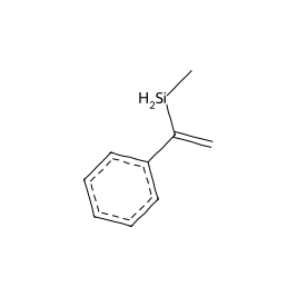 C=C([SiH2]C)c1ccccc1